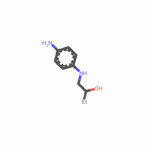 CCC(O)CNc1ccc(N)cc1